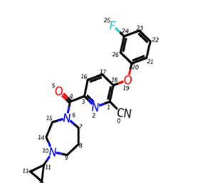 N#Cc1nc(C(=O)N2CCCN(C3CC3)CC2)ccc1Oc1cccc(F)c1